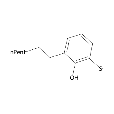 CCCCCCCc1cccc([S])c1O